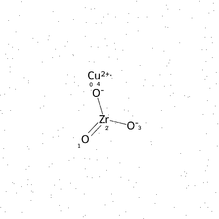 [Cu+2].[O]=[Zr]([O-])[O-]